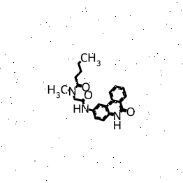 CCCCC(=O)N(C)CC(=O)Nc1ccc2[nH]c(=O)c3ccccc3c2c1